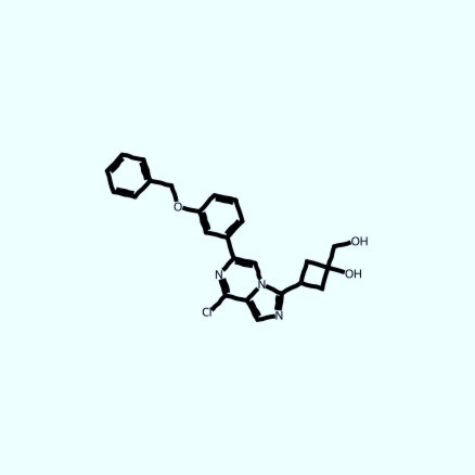 OCC1(O)CC(c2ncc3c(Cl)nc(-c4cccc(OCc5ccccc5)c4)cn23)C1